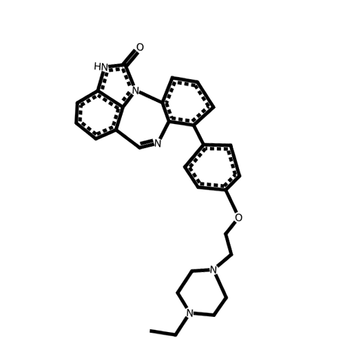 CCN1CCN(CCOc2ccc(-c3cccc4c3N=Cc3cccc5[nH]c(=O)n-4c35)cc2)CC1